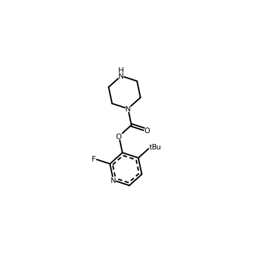 CC(C)(C)c1ccnc(F)c1OC(=O)N1CCNCC1